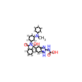 CN(c1ccccc1)c1cccc(N2C(=O)c3ccccc3C2(O)c2ccc3[nH]c(NC(=O)O)nc3c2)c1